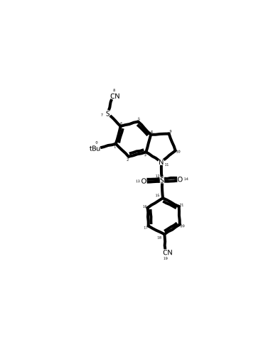 CC(C)(C)c1cc2c(cc1SC#N)CCN2S(=O)(=O)c1ccc(C#N)cc1